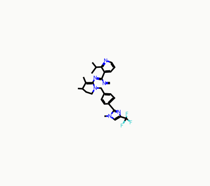 C=N/C(=N\C1=C(C)C(C)CCN1Cc1ccc(-c2nc(C(F)(F)F)cn2C)cc1)c1cccnc1C(C)C